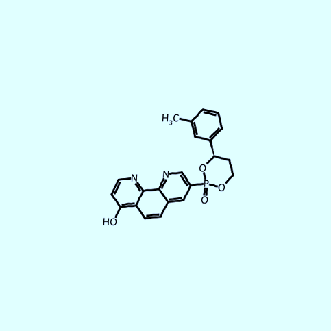 Cc1cccc([C@H]2CCOP(=O)(c3cnc4c(ccc5c(O)ccnc54)c3)O2)c1